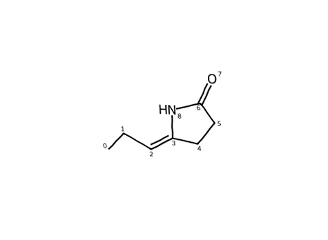 CCC=C1CCC(=O)N1